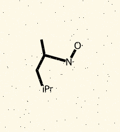 CC(C)CC(C)[N][O]